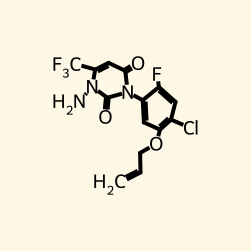 C=CCOc1cc(-n2c(=O)cc(C(F)(F)F)n(N)c2=O)c(F)cc1Cl